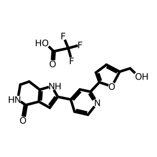 O=C(O)C(F)(F)F.O=C1NCCc2[nH]c(-c3ccnc(-c4ccc(CO)o4)c3)cc21